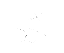 [2H]C([2H])([2H])Nc1nccc([S-])c1Cl.[Na+]